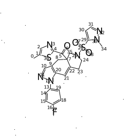 Cc1cnc(C(=O)C23Cc4cnn(-c5ccc(F)cc5)c4C=C2CCN(S(=O)(=O)c2ccnn2C)C3)s1